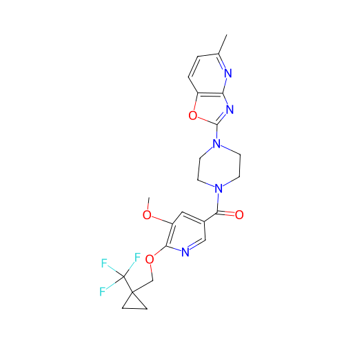 COc1cc(C(=O)N2CCN(c3nc4nc(C)ccc4o3)CC2)cnc1OCC1(C(F)(F)F)CC1